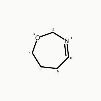 C1=NCOCCC1